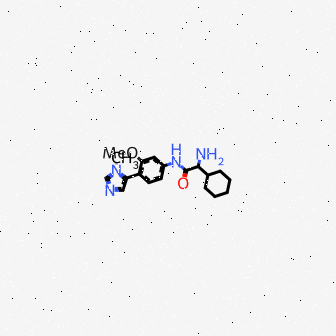 COc1cc(NC(=O)C(N)C2CCCCC2)ccc1-c1cncn1C